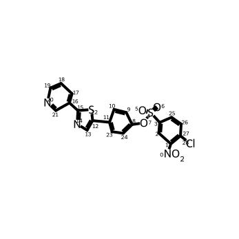 O=[N+]([O-])c1cc(S(=O)(=O)Oc2ccc(-c3cnc(-c4cccnc4)s3)cc2)ccc1Cl